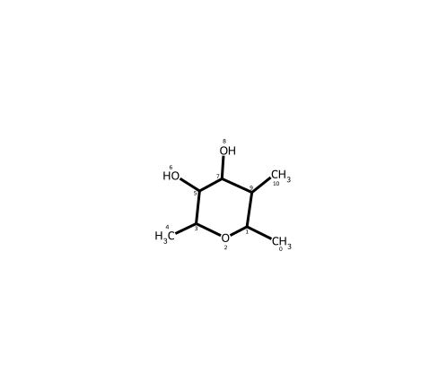 CC1OC(C)C(O)C(O)C1C